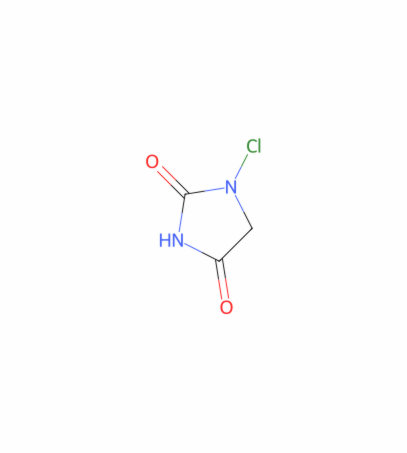 O=C1CN(Cl)C(=O)N1